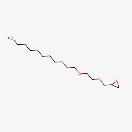 CCCCCCCCOCCOCCOCC1CO1